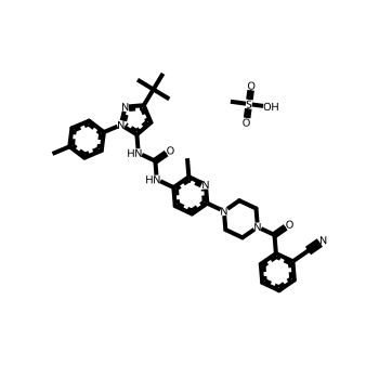 CS(=O)(=O)O.Cc1ccc(-n2nc(C(C)(C)C)cc2NC(=O)Nc2ccc(N3CCN(C(=O)c4ccccc4C#N)CC3)nc2C)cc1